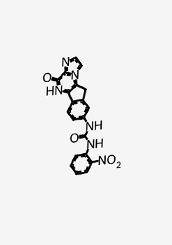 O=C(Nc1ccc2c(c1)Cc1c-2[nH]c(=O)c2nccn12)Nc1ccccc1[N+](=O)[O-]